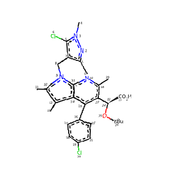 Cc1nn(C)c(Cl)c1Cn1c(C)c(C)c2c(-c3ccc(Cl)cc3)c([C@H](OC(C)(C)C)C(=O)O)c(C)nc21